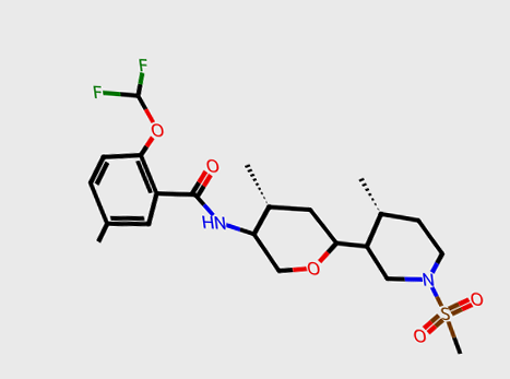 Cc1ccc(OC(F)F)c(C(=O)NC2COC(C3CN(S(C)(=O)=O)CC[C@H]3C)C[C@H]2C)c1